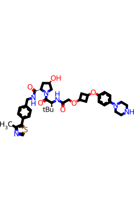 Cc1ncsc1-c1ccc(CNC(=O)[C@@H]2C[C@@H](O)CN2C(=O)[C@@H](NC(=O)COC2CC(Oc3ccc(N4CCNCC4)cc3)C2)C(C)(C)C)cc1